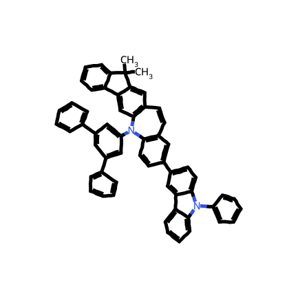 CC1(C)c2ccccc2-c2cc3c(cc21)C=Cc1cc(-c2ccc4c(c2)c2ccccc2n4-c2ccccc2)ccc1N3c1cc(-c2ccccc2)cc(-c2ccccc2)c1